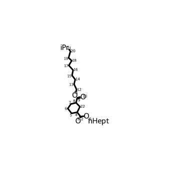 CCCCCCCOC(=O)C1CCCC(C(=O)OCCCCCCCCCC(C)C)C1